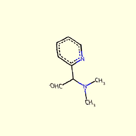 CN(C)C([C]=O)c1ccccn1